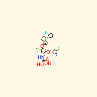 O=C(O)[C@H](CO)NCc1cc(Cl)c(O[C@H]2CCc3c(-c4ccccc4F)cccc32)cc1OCc1cncc(Cl)c1